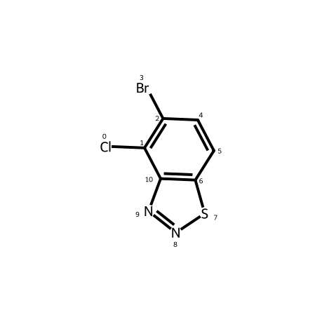 Clc1c(Br)ccc2snnc12